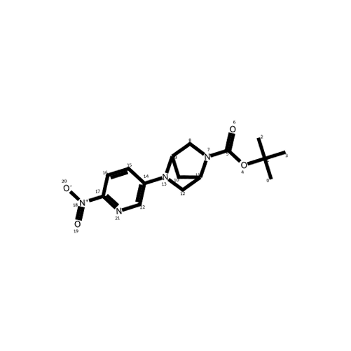 CC(C)(C)OC(=O)N1CC2CC1CN2c1ccc([N+](=O)[O-])nc1